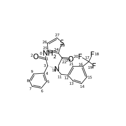 NC(=O)[C@@H](c1ccccc1)N(Cc1cccc(C(F)(F)F)c1)C(=O)c1cccs1